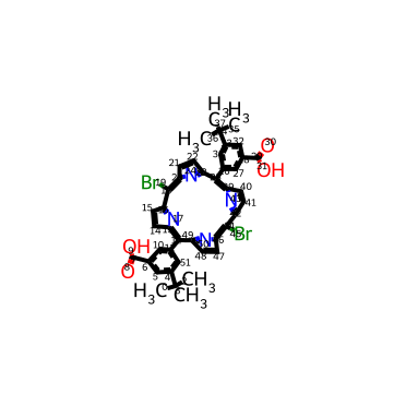 CC(C)(C)c1cc(C(=O)O)cc(C2=C3C=CC(=N3)C(Br)=C3C=CC(=N3)C(c3cc(C(=O)O)cc(C(C)(C)C)c3)=C3C=CC(=N3)C(Br)=C3C=CC2=N3)c1